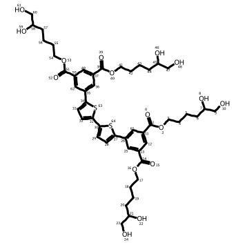 O=C(OCCCCC(O)CO)c1cc(C(=O)OCCCCC(O)CO)cc(-c2ccc(-c3ccc(-c4cc(C(=O)OCCCCC(O)CO)cc(C(=O)OCCCCC(O)CO)c4)s3)s2)c1